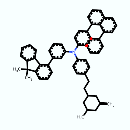 C=C1CC(C)CC(CCc2ccc(N(c3ccc(-c4cccc5cccc(-c6ccccc6)c45)cc3)c3cccc(-c4cccc5c4-c4ccccc4C5(C)C)c3)cc2)C1